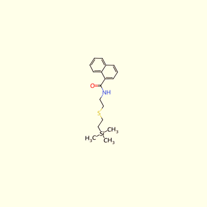 C[Si](C)(C)CCSCCNC(=O)c1cccc2ccccc12